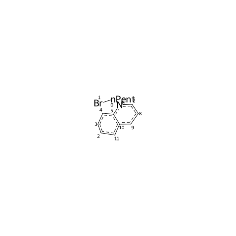 CCCCCBr.c1ccc2ncccc2c1